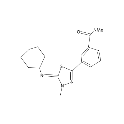 CNC(=O)c1cccc(-c2nn(C)c(=NC3CCCCC3)s2)c1